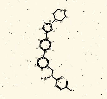 C=C(C)/C=C\C(=O)N(N)Cc1cccc(-c2ncc(-c3cnn(C4CCNCC4)c3)cn2)c1